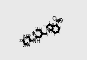 O=[N+]([O-])c1cccc2c1ccn2Cc1ccnc(Nc2cnccn2)c1